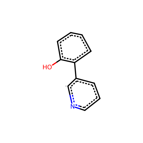 Oc1ccccc1-c1[c]nccc1